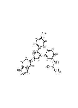 CC(=O)Nc1cc(-c2cn(C3=Nn4cnnc4CC3)nc2-c2ccc(F)cc2)ccn1